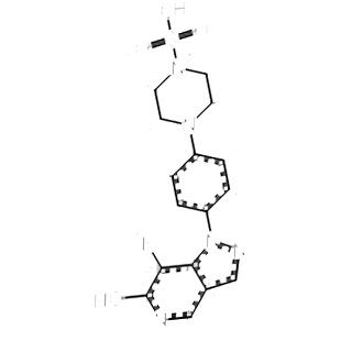 CS(=O)(=O)N1CCN(c2ccc(-n3ncc4cnc(O)c(F)c43)cc2)CC1